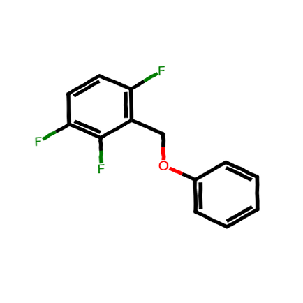 Fc1ccc(F)c(COc2ccccc2)c1F